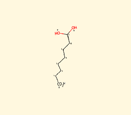 O=C(O)CCCCCCC(O)O